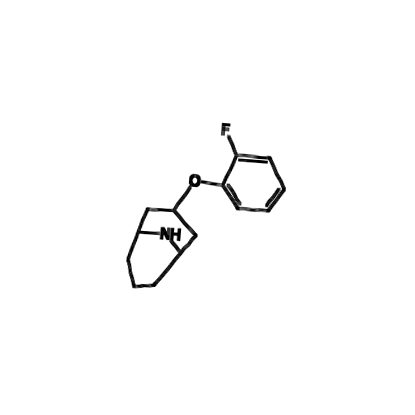 Fc1ccccc1OC1CC2CCCC(C1)N2